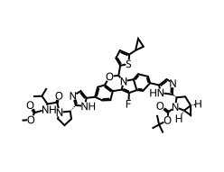 COC(=O)N[C@H](C(=O)N1CCC[C@H]1c1ncc(-c2ccc3c(c2)OC(c2ccc(C4CC4)s2)n2c-3c(F)c3cc(-c4cnc([C@@H]5C[C@H]6C[C@H]6N5C(=O)OC(C)(C)C)[nH]4)ccc32)[nH]1)C(C)C